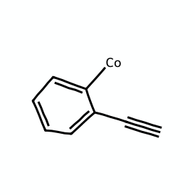 C#Cc1cccc[c]1[Co]